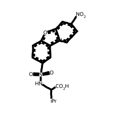 CC(C)C(NS(=O)(=O)c1ccc2oc3cc([N+](=O)[O-])ccc3c2c1)C(=O)O